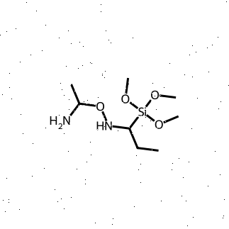 CCC(NOC(C)N)[Si](OC)(OC)OC